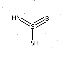 B#S(=N)S